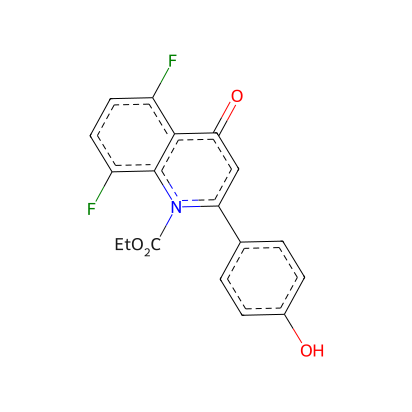 CCOC(=O)n1c(-c2ccc(O)cc2)cc(=O)c2c(F)ccc(F)c21